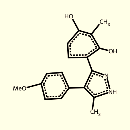 COc1ccc(-c2c(-c3ccc(O)c(C)c3O)n[nH]c2C)cc1